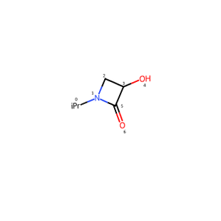 CC(C)N1CC(O)C1=O